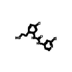 O=C(Nc1ccnc(Cl)c1)Nc1cc(Cl)ccc1CCO